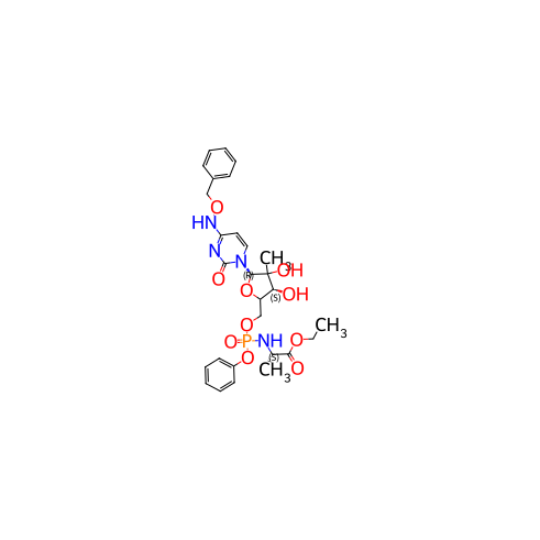 CCOC(=O)[C@H](C)NP(=O)(OCC1O[C@@H](n2ccc(NOCc3ccccc3)nc2=O)C(C)(O)[C@H]1O)Oc1ccccc1